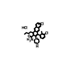 CCCCc1c(C(N)=O)c(N2CCNCC2)c(-c2cccc(Cl)c2C)c2cc3ccccc3cc12.Cl.Cl